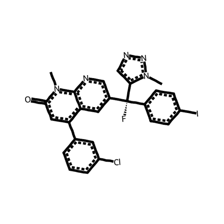 Cn1nncc1[C@@](F)(c1ccc(I)cc1)c1cnc2c(c1)c(-c1cccc(Cl)c1)cc(=O)n2C